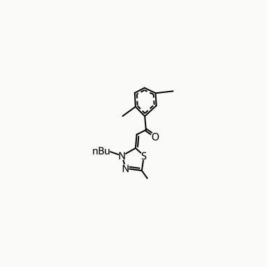 CCCCN1N=C(C)SC1=CC(=O)c1cc(C)ccc1C